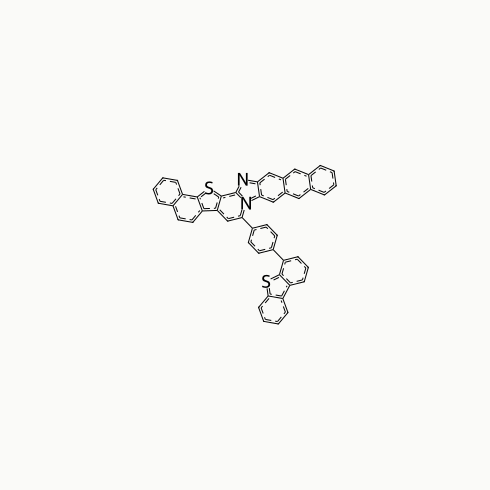 c1ccc2cc3cc4c(cc3cc2c1)nc1c2sc3c5ccccc5ccc3c2cc(-c2ccc(-c3cccc5c3sc3ccccc35)cc2)n41